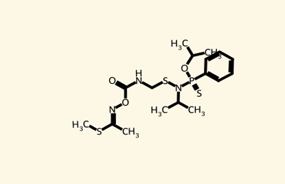 CS/C(C)=N/OC(=O)NCSN(C(C)C)P(=S)(OC(C)C)c1ccccc1